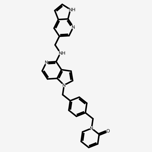 O=c1ccccn1Cc1ccc(Cn2ccc3c(NCc4cnc5[nH]ccc5c4)nccc32)cc1